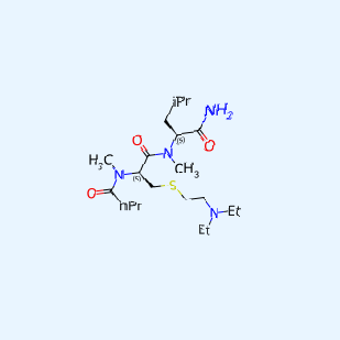 CCCC(=O)N(C)[C@H](CSCCN(CC)CC)C(=O)N(C)[C@@H](CC(C)C)C(N)=O